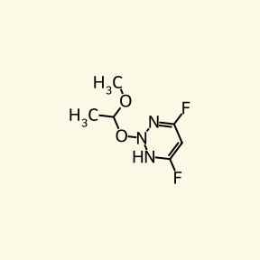 COC(C)ON1N=C(F)C=C(F)N1